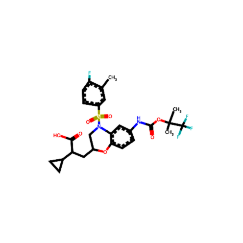 Cc1cc(S(=O)(=O)N2CC(CC(C(=O)O)C3CC3)Oc3ccc(NC(=O)OC(C)(C)C(F)(F)F)cc32)ccc1F